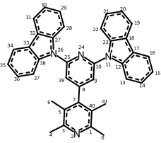 Cc1nc(C)c(C)c(-c2cc(-n3c4ccccc4c4ccccc43)nc(-n3c4ccccc4c4ccccc43)c2)c1C